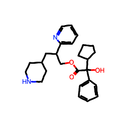 O=C(OCC(CC1CCNCC1)c1ccccn1)C(O)(c1ccccc1)C1CCCC1